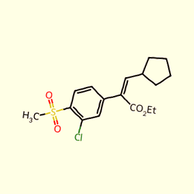 CCOC(=O)C(=CC1CCCC1)c1ccc(S(C)(=O)=O)c(Cl)c1